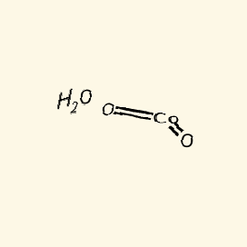 O.[O]=[Co]=[O]